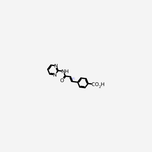 O=C(/C=C/c1ccc(C(=O)O)cc1)Nc1ncccn1